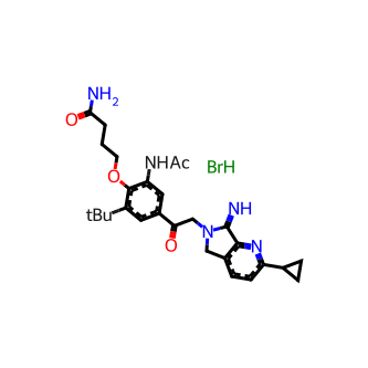 Br.CC(=O)Nc1cc(C(=O)CN2Cc3ccc(C4CC4)nc3C2=N)cc(C(C)(C)C)c1OCCCC(N)=O